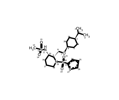 CC(C)[C@H]1CC[C@@H](OC[C@H]2[C@@H](NS(C)(=O)=O)CCCN2S(=O)(=O)c2cccs2)CC1